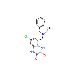 C[CH]N(Cc1ccccc1)Cc1cc(Cl)cc2[nH]c(=O)c(=O)[nH]c12